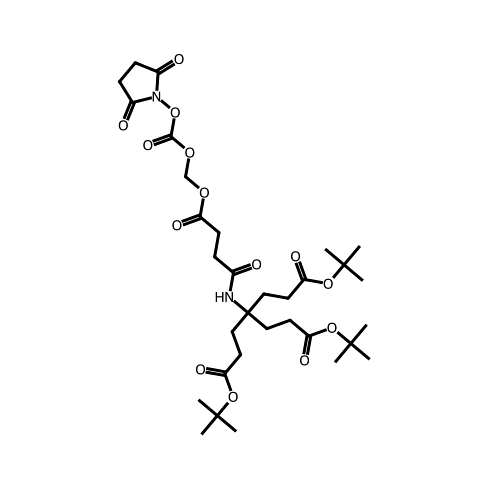 CC(C)(C)OC(=O)CCC(CCC(=O)OC(C)(C)C)(CCC(=O)OC(C)(C)C)NC(=O)CCC(=O)OCOC(=O)ON1C(=O)CCC1=O